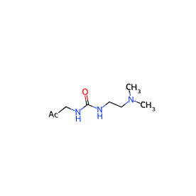 CC(=O)CNC(=O)NCCN(C)C